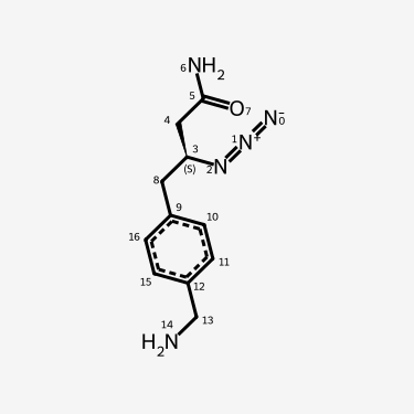 [N-]=[N+]=N[C@H](CC(N)=O)Cc1ccc(CN)cc1